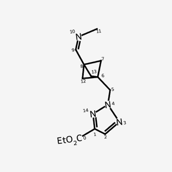 CCOC(=O)c1cnn(CC23CC(/C=N\C)(C2)C3)n1